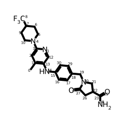 Cc1cc(N2CCC(C(F)(F)F)CC2)ncc1Nc1ccc(CN2CC(C(N)=O)CC2=O)cc1